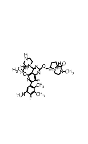 Cc1c(F)c(N)cc(-c2nc3c4c(nc(OC[C@H]5CC[C@@H]6C(=O)N(C)CCN56)nc4c2F)N2CCNC[C@H]2[C@H](C)O3)c1C(F)(F)F